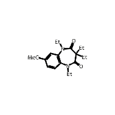 CCN1C(=O)C(CC)(CC)C(=O)N(CC)c2cc(OC)ccc21